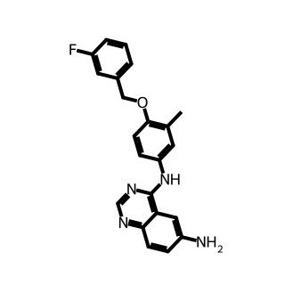 Cc1cc(Nc2ncnc3ccc(N)cc23)ccc1OCc1cccc(F)c1